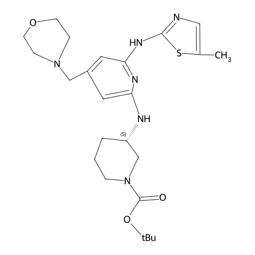 Cc1cnc(Nc2cc(CN3CCOCC3)cc(N[C@H]3CCCN(C(=O)OC(C)(C)C)C3)n2)s1